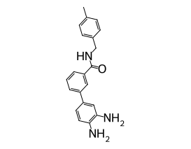 Cc1ccc(CNC(=O)c2cccc(-c3ccc(N)c(N)c3)c2)cc1